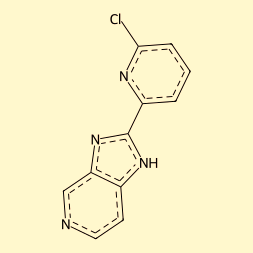 Clc1cccc(-c2nc3cnccc3[nH]2)n1